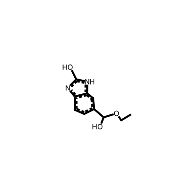 CCOC(O)c1ccc2nc(O)[nH]c2c1